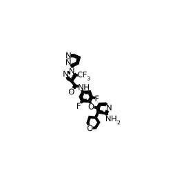 Nc1nccc(Oc2c(F)cc(NC(=O)c3cnn(-c4cccnn4)c3C(F)(F)F)cc2F)c1C1CCOCC1